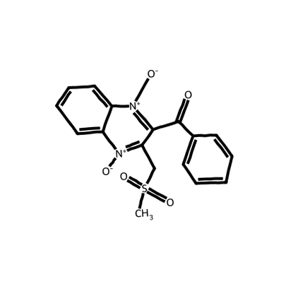 CS(=O)(=O)Cc1c(C(=O)c2ccccc2)[n+]([O-])c2ccccc2[n+]1[O-]